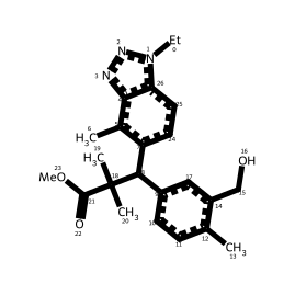 CCn1nnc2c(C)c(C(c3ccc(C)c(CO)c3)C(C)(C)C(=O)OC)ccc21